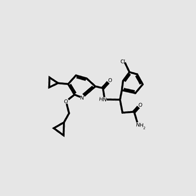 NC(=O)CC(NC(=O)c1ccc(C2CC2)c(OCC2CC2)n1)c1cccc(Cl)c1